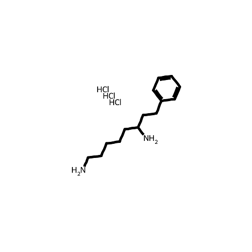 Cl.Cl.Cl.NCCCCCC(N)CCc1ccccc1